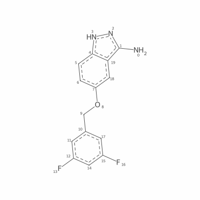 Nc1n[nH]c2ccc(OCc3cc(F)cc(F)c3)cc12